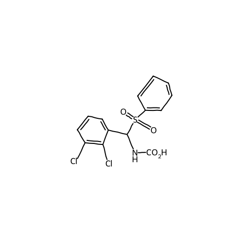 O=C(O)NC(c1cccc(Cl)c1Cl)S(=O)(=O)c1ccccc1